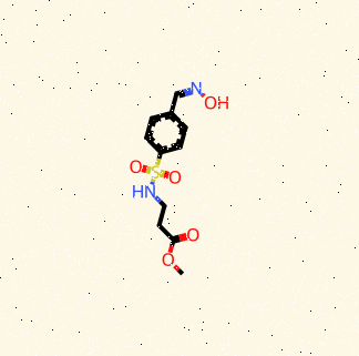 COC(=O)CCNS(=O)(=O)c1ccc(/C=N\O)cc1